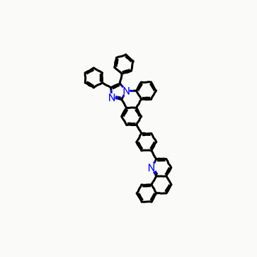 c1ccc(-c2nc3c4ccc(-c5ccc(-c6ccc7ccc8ccccc8c7n6)cc5)cc4c4ccccc4n3c2-c2ccccc2)cc1